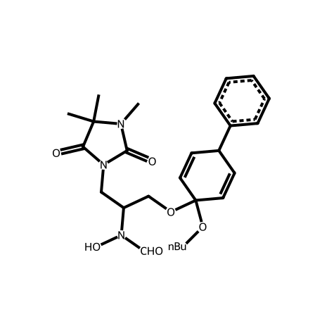 CCCCOC1(OCC(CN2C(=O)N(C)C(C)(C)C2=O)N(O)C=O)C=CC(c2ccccc2)C=C1